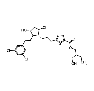 CCC(CO)COC(=O)c1ccc(CCC[C@@H]2[C@@H](CCc3cc(Cl)cc(Cl)c3)[C@H](O)C[C@H]2Cl)s1